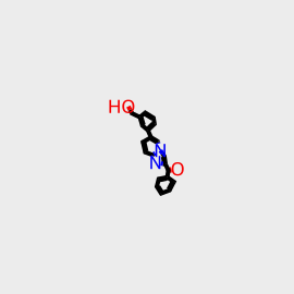 O=C(c1ccccc1)c1cn2cc(-c3cccc(CO)c3)ccc2n1